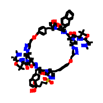 CN[C@@H](C)C(=O)N[C@H](C(=O)N1C[C@@H]2C[C@H]1C(=O)N[C@@H](Cc1ccc3ccccc3c1)C(=O)N[C@H](C(=O)O)Cc1ccc(cc1)OCc1cn(nn1)[C@H]1C[C@@H](C(=O)N[C@@H](Cc3ccc4ccccc4c3)C(=O)N[C@H](C(=O)NS(=O)(=O)CCCC(=O)O)Cc3ccc(cc3)OCc3cn2nn3)N(C(=O)[C@@H](NC(=O)[C@H](C)NC)C(C)(C)C)C1)C(C)(C)C